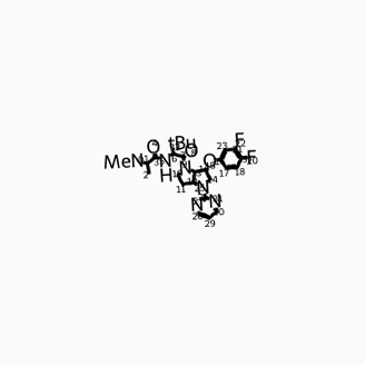 CNC(C)C(=O)NC(C(=O)N1CCC2C1C(Oc1ccc(F)c(F)c1)CN2c1ncccn1)C(C)(C)C